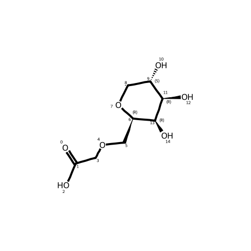 O=C(O)COC[C@H]1O[CH][C@H](O)[C@@H](O)[C@H]1O